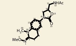 CON=C1CCc2cc(N3CC(CNC(C)=O)OC3=O)ccc2N1C